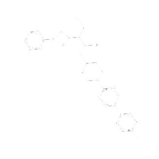 NCC(C(N)CC1CCN(c2ncc(-c3ccc(F)cc3)cn2)CC1)C1CN(c2nccc(C(F)(F)F)n2)C1